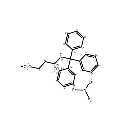 CCN(CC)CC.O=C(O)CC[C@H](NC(c1ccccc1)(c1ccccc1)c1ccccc1)C(=O)O